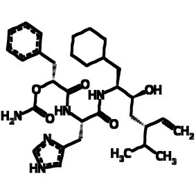 C=C[C@@H](C[C@H](O)[C@H](CC1CCCCC1)NC(=O)[C@H](Cc1c[nH]cn1)NC(=O)[C@@H](Cc1ccccc1)OC(N)=O)C(C)C